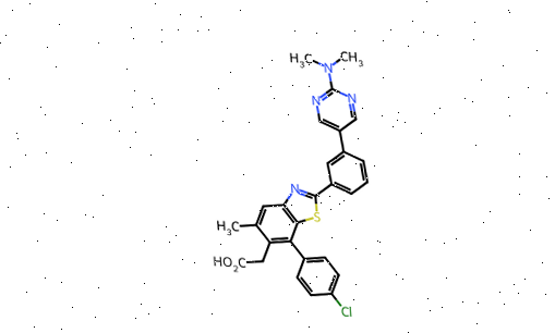 Cc1cc2nc(-c3cccc(-c4cnc(N(C)C)nc4)c3)sc2c(-c2ccc(Cl)cc2)c1CC(=O)O